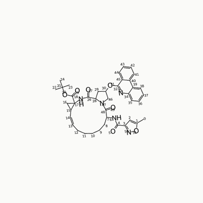 Cc1cc(C(=O)NC2CCCCC/C=C\C3CC3(C(=O)OC(C)(C)C)NC(=O)C3CC(Oc4nc5ccccc5c5ccccc45)CN3C2=O)no1